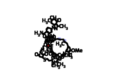 COc1cc2cc(c1Cl)N(C)C(=O)C[C@@H](OC(=O)[C@@H](C)N(C)C(=O)CCSC1CC(=O)N(CCCOCCCNc3cc(-n4nc(C)c5c4CC(C)(C)CC5=O)ccc3C(N)=O)C1=O)[C@@]1(C)O[C@@H]1[C@@H](C)[C@H]1C[C@](O)(NC(=O)O1)[C@@H](OC)/C=C/C=C(\C)C2